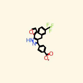 COC(=O)c1ccc(-c2n[nH]c(-c3ccco3)c2Cc2cccc(C(F)(F)F)c2)cc1